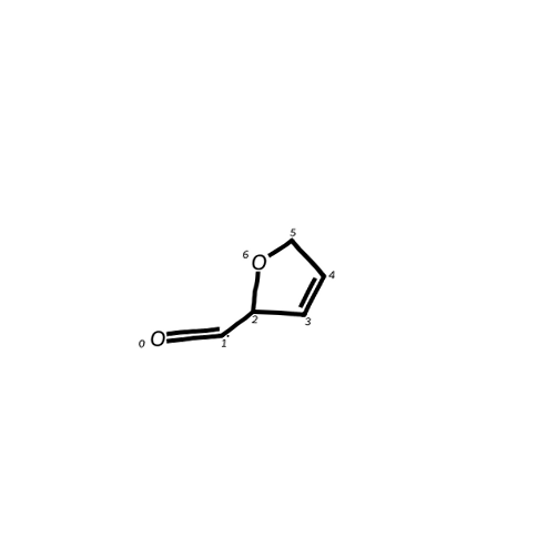 O=[C]C1C=CCO1